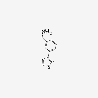 NCc1cccc(-c2[c]scc2)c1